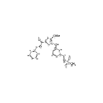 CO[C@@H]1CN(C(=O)OCc2ccccc2)C[C@H]1Oc1cccc(COS(C)(=O)=O)c1